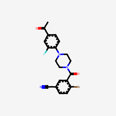 CC(=O)c1ccc(N2CCN(C(=O)c3cc(C#N)ccc3Br)CC2)c(F)c1